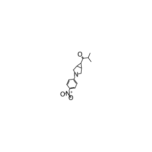 CC(C)C(=O)C1C2CN(c3ccc([N+](=O)[O-])cc3)CC21